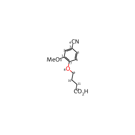 COc1cc(C#N)ccc1OCCCC(=O)O